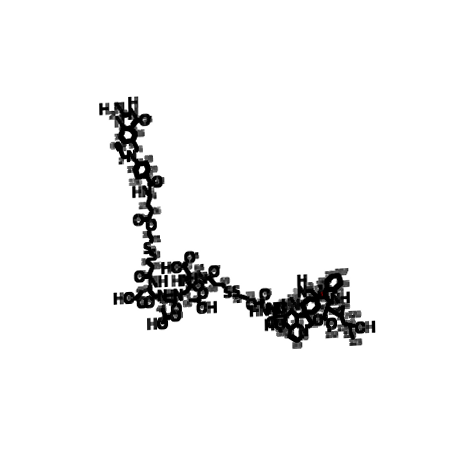 C#CCN(Cc1ccc2nc(N)[nH]c(=O)c2c1)c1ccc(C(=O)NCCCC(=O)OCCSSCCC(=O)N[C@@H](CC(=O)O)C(=O)N[C@@H](CC(=O)O)C(=O)N[C@@H](CC(=O)O)C(=O)N[C@@H](CNC(=O)CCSSCCOC(=O)NNC(=O)[C@@]2(O)[C@H](O)[C@]3(CC)C=CCN4CC[C@@]5(c6cc([C@](C(=O)OC)(c7[nH]c8ccccc8c7CCN)[C@H]7CC7C[C@@](C)(O)CC)c(OC)cc6N(C)[C@@H]25)C43)C(=O)O)cc1